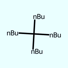 CCCCC(CCCC)(CCCC)CCCC